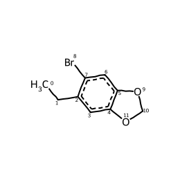 CCc1cc2c(cc1Br)OCO2